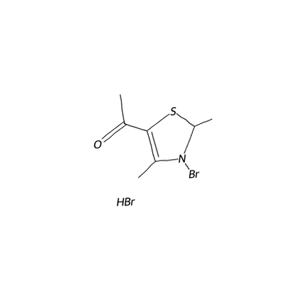 Br.CC(=O)C1=C(C)N(Br)C(C)S1